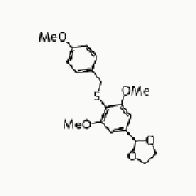 COc1ccc(CSc2c(OC)cc(C3OCCO3)cc2OC)cc1